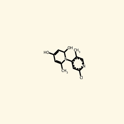 CC1=CC(O)=CC(O)N1c1cc(Cl)ncc1C